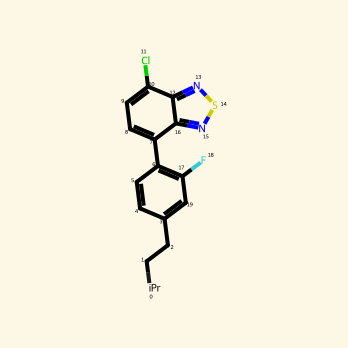 CC(C)CCc1ccc(-c2ccc(Cl)c3nsnc23)c(F)c1